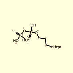 CCCCCCCCCCOP(=O)(O)OP(=O)(O)O